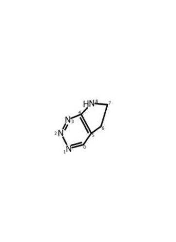 c1nnnc2c1CCN2